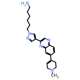 CN1CC=C(c2ccc3ncc(-c4cnn(CCCCCCN)c4)nc3c2)CC1